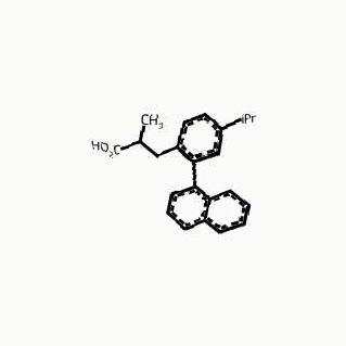 CC(Cc1ccc(C(C)C)cc1-c1cccc2ccccc12)C(=O)O